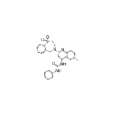 Cc1ccc2nc(N3CCS(=O)(=O)c4ccccc4C3)cc(NC(=O)Nc3ccccc3)c2c1